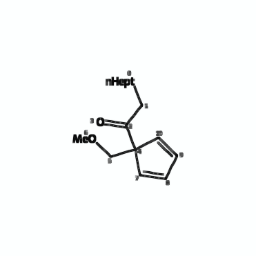 CCCCCCCCC(=O)C1(COC)C=CC=C1